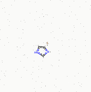 [S].c1c[nH]cn1